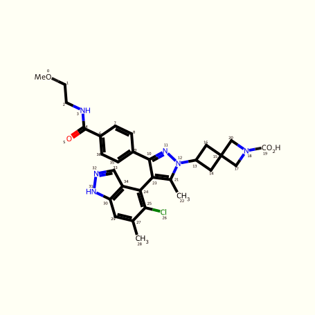 COCCNC(=O)c1ccc(-c2nn(C3CC4(C3)CN(C(=O)O)C4)c(C)c2-c2c(Cl)c(C)cc3[nH]ncc23)cc1